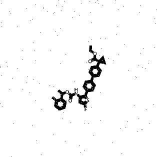 CCOC(=O)C1(c2ccc(-c3ccc(-c4sc(F)cc4NC(=O)OC(C)c4ccccc4C)cc3)cc2)CC1